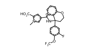 Cn1cc(C(=O)NC2(c3ccc(OC(F)(F)F)c(F)c3)CCOc3cccnc32)cc1C(=O)O